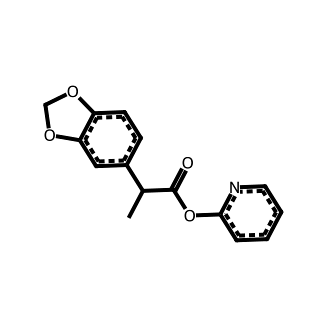 CC(C(=O)Oc1ccccn1)c1ccc2c(c1)OCO2